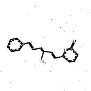 CC(/C=C/c1cccc(=O)o1)=C\C=C\c1ccccc1